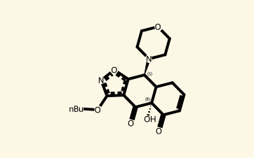 CCCCOc1noc2c1C(=O)[C@]1(O)C(=O)C=CCC1[C@@H]2N1CCOCC1